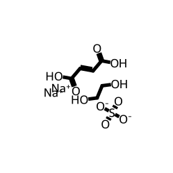 O=C(O)/C=C/C(=O)O.O=S(=O)([O-])[O-].OCCO.[Na+].[Na+]